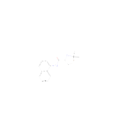 CC1(C)N[C@@H](C(=O)Nc2cccc3ccccc23)CS1